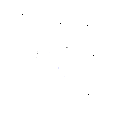 CC1(C)OC[C@H](COc2ccnc(NC(=O)N3C4=C(C=CC(C(=O)NCc5cscn5)N4)N4CC[C@H]3C4)c2)O1